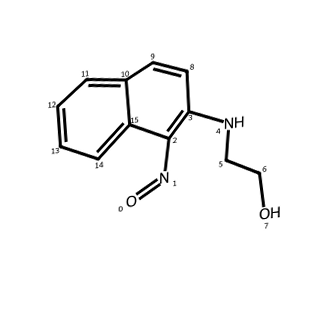 O=Nc1c(NCCO)ccc2ccccc12